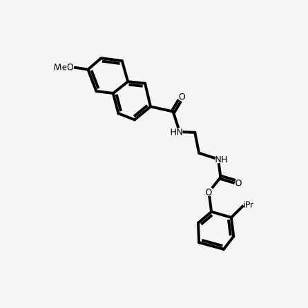 COc1ccc2cc(C(=O)NCCNC(=O)Oc3ccccc3C(C)C)ccc2c1